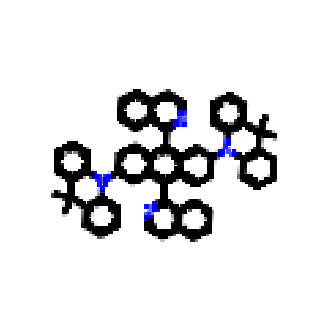 CC1(C)C2=C(C=CCC2)N(C2C=c3c(-c4nccc5ccccc45)c4ccc(N5c6ccccc6C(C)(C)c6ccccc65)cc4c(-c4nccc5ccccc45)c3=CC2)c2ccccc21